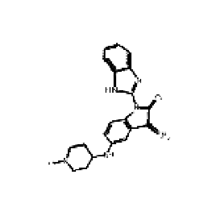 C=C1C(=O)N(c2nc3ccccc3[nH]2)c2ccc(NC3CCN(CC)CC3)cc21